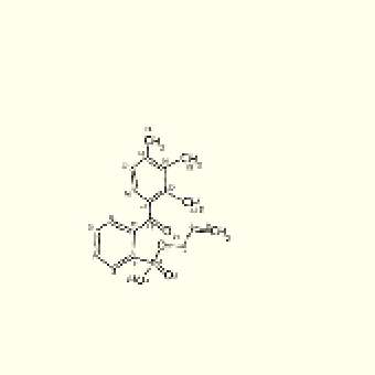 C=CCOP(=O)(O)c1ccccc1C(=O)c1ccc(C)c(C)c1C